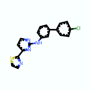 Clc1ccc(-c2cccc(Nc3nccc(-c4nccs4)n3)c2)cc1